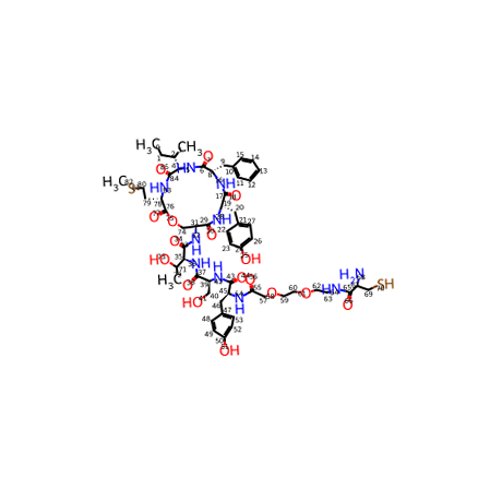 CCC(C)[C@@H]1NC(=O)[C@H](Cc2ccccc2)NC(=O)[C@H](Cc2ccc(O)cc2)NC(=O)[C@@H](NC(=O)[C@@H](NC(=O)[C@H](CO)NC(=O)[C@H](Cc2ccc(O)cc2)NC(=O)COCCOCCNC(=O)[C@@H](N)CS)C(C)O)COC(=O)[C@H](CCSC)NC1=O